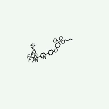 CCCCOC(=O)[C@]1(COC)CC[C@@H](Oc2ccc(-c3ccc(-c4nc(C)c(C(F)(F)F)n4COCC[Si](C)(C)C)cn3)cc2)CC1